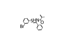 C=C(C)C(=O)NC(=CSc1cccc(Br)c1)c1ccccc1